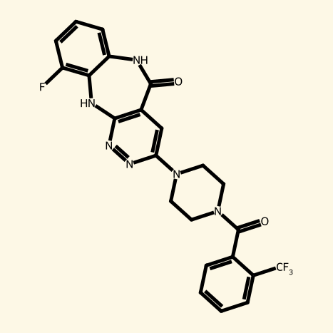 O=C1Nc2cccc(F)c2Nc2nnc(N3CCN(C(=O)c4ccccc4C(F)(F)F)CC3)cc21